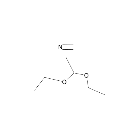 CC#N.CCOC(C)OCC